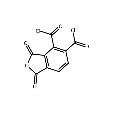 O=C(Cl)c1ccc2c(c1C(=O)Cl)C(=O)OC2=O